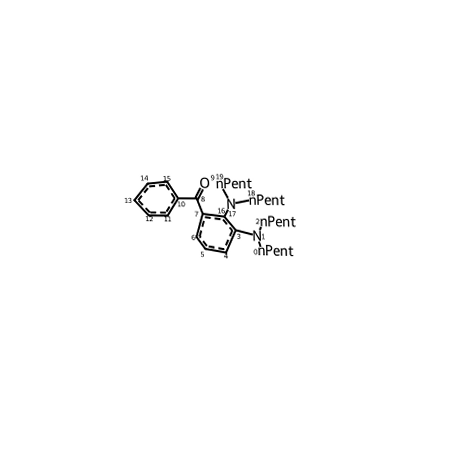 CCCCCN(CCCCC)c1cccc(C(=O)c2ccccc2)c1N(CCCCC)CCCCC